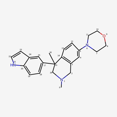 CN1Cc2cc(N3CCOCC3)ccc2C(C)(c2ccc3[nH]ccc3c2)C1